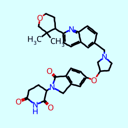 CC1(C)COCCC1c1ccc2cc(CN3CCC(Oc4ccc5c(c4)CN(C4CCC(=O)NC4=O)C5=O)C3)ccc2n1